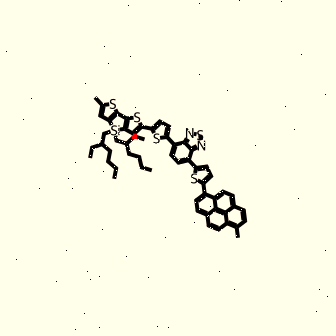 CCCCC(CC)C[Si]1(CC(CC)CCCC)c2cc(C)sc2-c2sc(-c3ccc(-c4ccc(-c5ccc(-c6ccc7ccc8c(C)ccc9ccc6c7c98)s5)c5nsnc45)s3)cc21